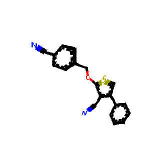 N#Cc1ccc(COc2scc(-c3ccccc3)c2C#N)cc1